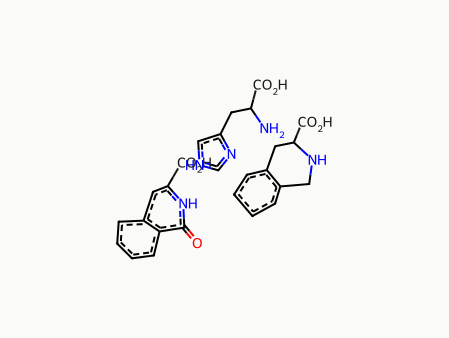 NC(Cc1c[nH]cn1)C(=O)O.O=C(O)C1Cc2ccccc2CN1.O=C(O)c1cc2ccccc2c(=O)[nH]1